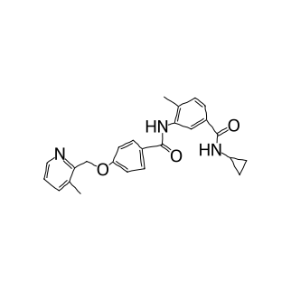 Cc1ccc(C(=O)NC2CC2)cc1NC(=O)c1ccc(OCc2ncccc2C)cc1